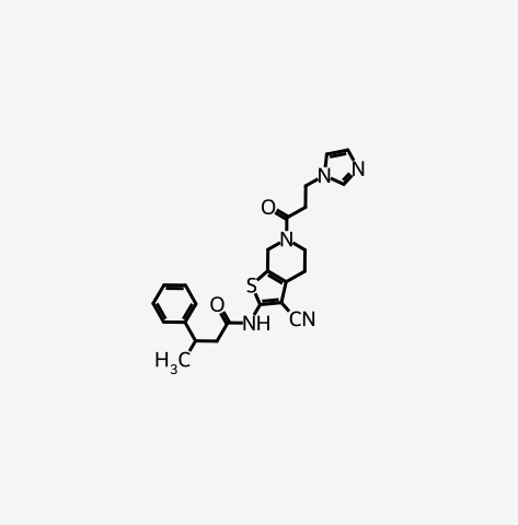 CC(CC(=O)Nc1sc2c(c1C#N)CCN(C(=O)CCn1ccnc1)C2)c1ccccc1